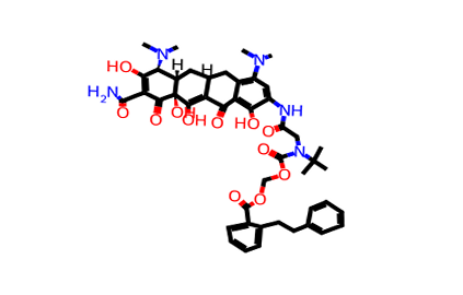 CN(C)c1cc(NC(=O)CN(C(=O)OCOC(=O)c2ccccc2CCc2ccccc2)C(C)(C)C)c(O)c2c1C[C@H]1C[C@H]3[C@H](N(C)C)C(O)=C(C(N)=O)C(=O)[C@@]3(O)C(O)=C1C2=O